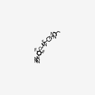 CCc1cnc(N2CCC(c3nc(COc4c(F)cc(-n5cnnn5)cc4F)cs3)CC2)nc1